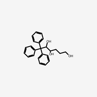 OCCCC(O)C(O)C(c1ccccc1)(c1ccccc1)c1ccccc1